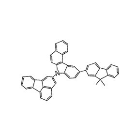 CC1(C)c2ccccc2-c2ccc(-c3ccc4c(c3)c3c5ccccc5ccc3n4-c3cc4c5c(cccc5c3)-c3ccccc3-4)cc21